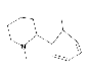 CC1C=CC=CC1C1CCCCN1C